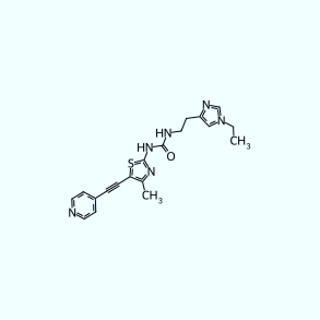 CCn1cnc(CCNC(=O)Nc2nc(C)c(C#Cc3ccncc3)s2)c1